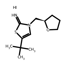 CC(C)(C)c1cn(C[C@H]2CCCO2)c(=N)s1.I